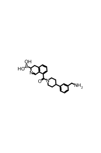 NCc1cccc(C2CCN(C(=O)c3cccc4c3C=NC(B(O)O)C4)CC2)c1